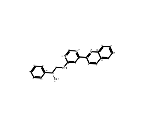 O[C@@H](CNc1cc(-c2ccc3ccccc3n2)ncn1)c1ccccc1